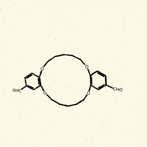 O=Cc1ccc2c(c1)OCCCCCOc1cc(C=O)ccc1OCCCCCO2